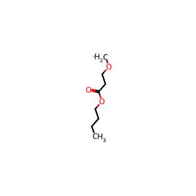 [CH2]OCCC(=O)OCCCC